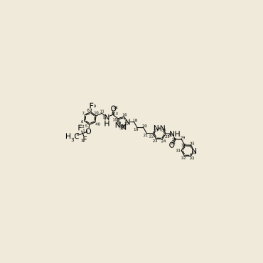 CC(F)(F)Oc1ccc(F)c(CNC(=O)c2cn(CCCCc3ccc(NC(=O)Cc4cccnc4)nn3)nn2)c1